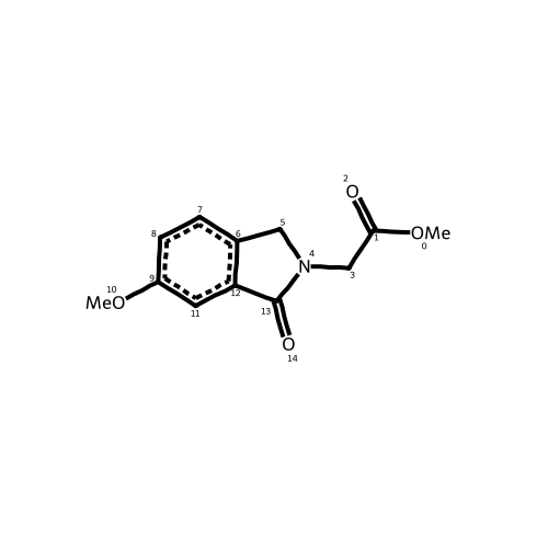 COC(=O)CN1Cc2ccc(OC)cc2C1=O